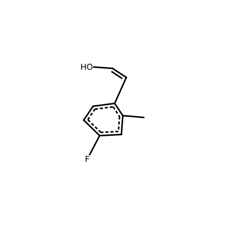 Cc1cc(F)ccc1/C=C\O